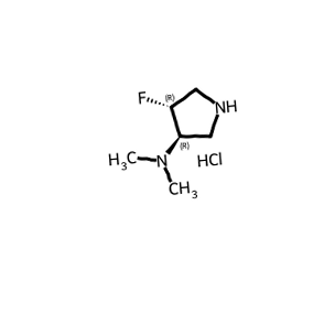 CN(C)[C@@H]1CNC[C@H]1F.Cl